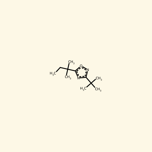 CCC(C)(C)c1nc(C(C)(C)C)no1